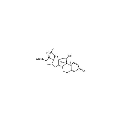 COCC(=O)C1(OC(C)O)C(C)CC2C3CCC4=CC(=O)C=CC4(C)C3(Cl)C(O)CC21C